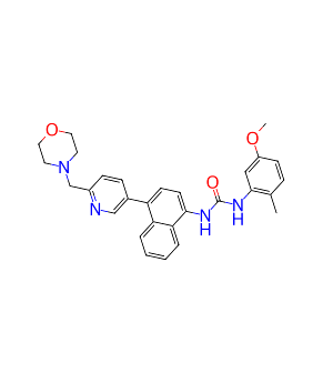 COc1ccc(C)c(NC(=O)Nc2ccc(-c3ccc(CN4CCOCC4)nc3)c3ccccc23)c1